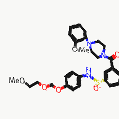 COCCOCOc1ccc(N[S+]([O-])c2ccc(C)c(C(=O)N3CCN(c4ccccc4OC)CC3)c2)cc1